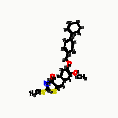 COc1cc(C=C2SC(SC)=NC2=O)ccc1OCc1ccc(C2CCCCC2)cc1